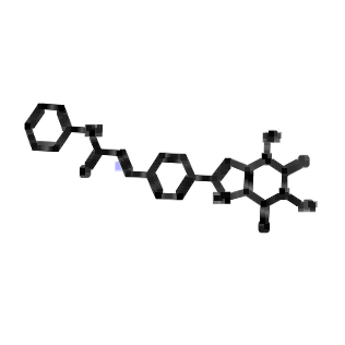 CCCn1c(=O)c2[nH]c(-c3ccc(/C=C/C(=O)Nc4ccccc4)cc3)cc2n(CCC)c1=O